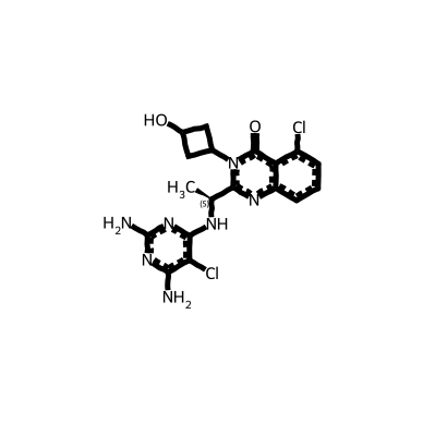 C[C@H](Nc1nc(N)nc(N)c1Cl)c1nc2cccc(Cl)c2c(=O)n1C1CC(O)C1